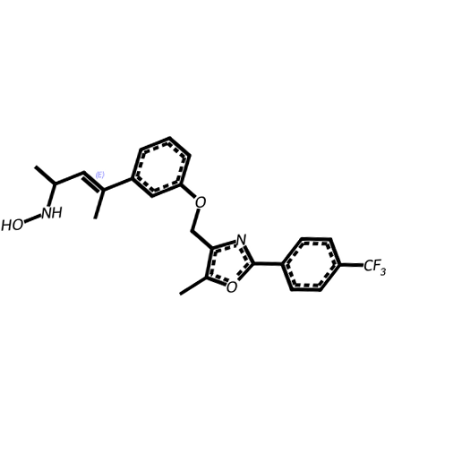 C/C(=C\C(C)NO)c1cccc(OCc2nc(-c3ccc(C(F)(F)F)cc3)oc2C)c1